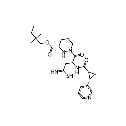 CCC(C)(C)COC(=O)[C@@H]1CCCN(C(=O)[C@H](CC(=N)S)NC(=O)[C@H]2C[C@@H]2c2cccnc2)N1